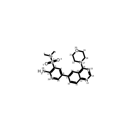 CN(C)S(=O)(=O)c1cc(-c2ccc3ncnc(N4CCOCC4)c3c2)cnc1N